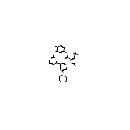 Cc1nc(C(=O)Nc2ccc(C)c(Nc3nccc(-c4cncc(N5CCO[C@@H](C)C5)c4)n3)c2)c(C(F)(F)F)o1